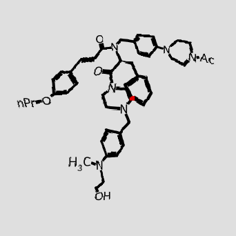 CCCOc1ccc(/C=C/C(=O)N(Cc2ccc(N3CCN(C(C)=O)CC3)cc2)[C@@H](Cc2ccccc2)C(=O)N2CCN(Cc3ccc(N(C)CCO)cc3)CC2)cc1